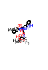 COC(=O)[C@@H](Cc1ccccc1)NC(=O)[C@H](Cc1c[nH]c2ccccc12)NC(=O)CO/N=C(/[C@H](C)OC)[C@@H](O)[C@@H](C)O